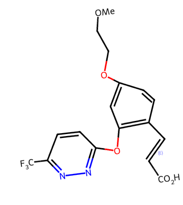 COCCOc1ccc(/C=C/C(=O)O)c(Oc2ccc(C(F)(F)F)nn2)c1